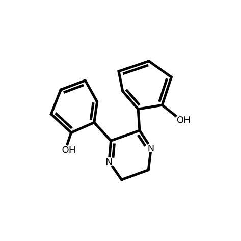 Oc1ccccc1C1=NCCN=C1c1ccccc1O